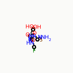 CN(C(=O)NCc1ccc(F)cc1)N1CC(=O)N2[C@@H](Cc3ccc(O)c(O)c3)C(=O)N(Cc3cccc4sc(N)nc34)C[C@@H]21